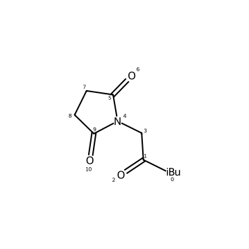 CCC(C)C(=O)CN1C(=O)CCC1=O